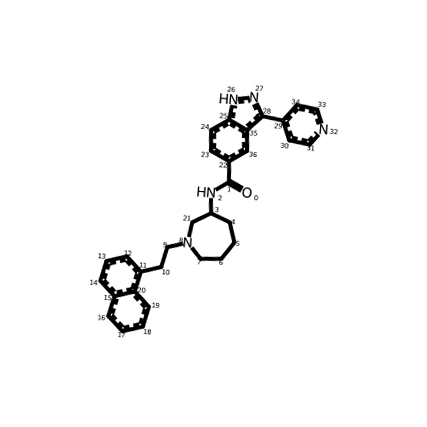 O=C(NC1CCCCN(CCc2cccc3ccccc23)C1)c1ccc2[nH]nc(-c3ccncc3)c2c1